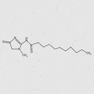 CCCCCCCCCCC(=O)NC1=NC(=O)CN1C